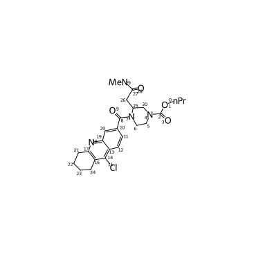 CCCOC(=O)N1CCN(C(=O)c2ccc3c(Cl)c4c(nc3c2)CCCC4)C(CC(=O)NC)C1